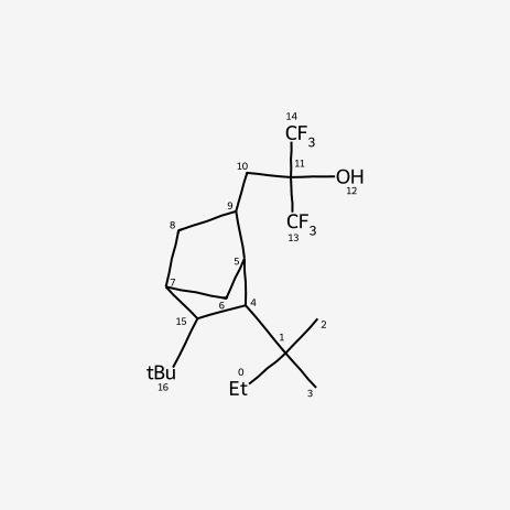 CCC(C)(C)C1C2CC(CC2CC(O)(C(F)(F)F)C(F)(F)F)C1C(C)(C)C